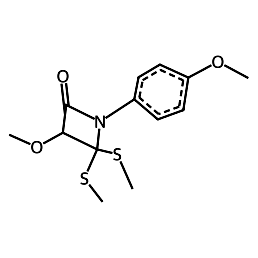 COc1ccc(N2C(=O)C(OC)C2(SC)SC)cc1